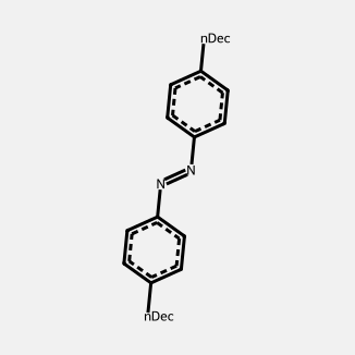 CCCCCCCCCCc1ccc(N=Nc2ccc(CCCCCCCCCC)cc2)cc1